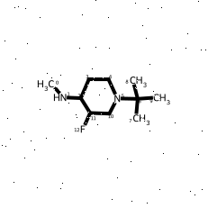 CNC1CCN(C(C)(C)C)CC1F